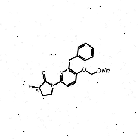 COCOc1ccc(N2CC[C@@H](F)C2=O)nc1Cc1ccccc1